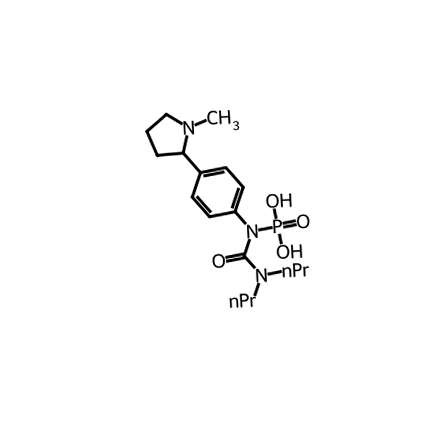 CCCN(CCC)C(=O)N(c1ccc(C2CCCN2C)cc1)P(=O)(O)O